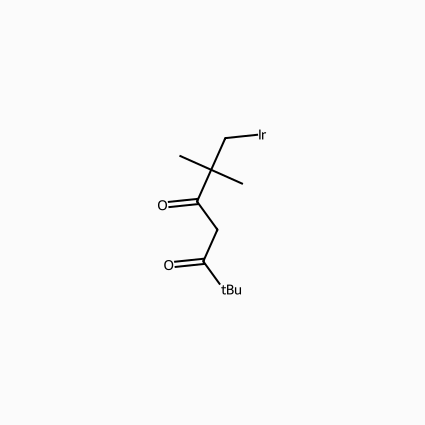 CC(C)(C)C(=O)CC(=O)C(C)(C)[CH2][Ir]